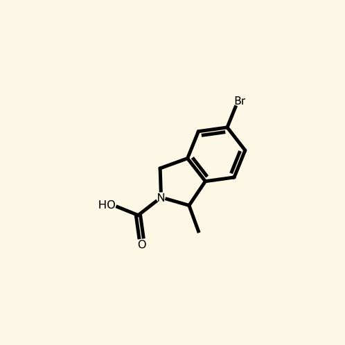 CC1c2ccc(Br)cc2CN1C(=O)O